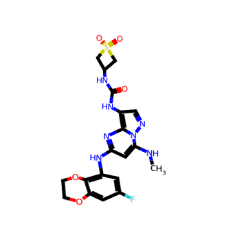 CNc1cc(Nc2cc(F)cc3c2OCCO3)nc2c(NC(=O)NC3CS(=O)(=O)C3)cnn12